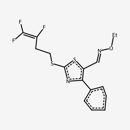 CCO/N=C/c1sc(SCCC(F)=C(F)F)nc1-c1ccccc1